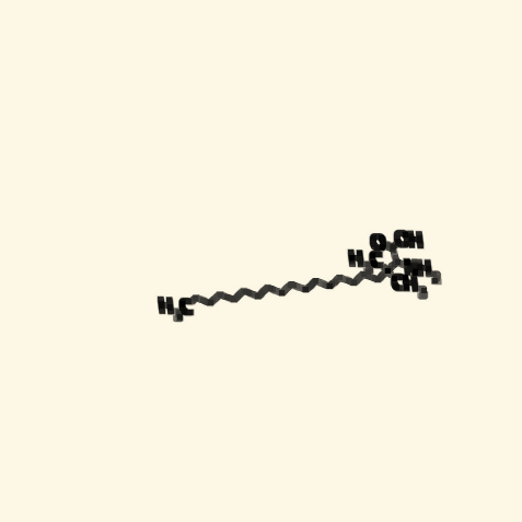 CCCCCCCCCCCCCCCCCC(C)(C)C(N)C(=O)O